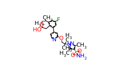 Cc1nn(C(C)(C)COc2cc(-c3cc(F)cc(C(C)C)c3CC(=O)O)ccn2)c(C)c1S(N)(=O)=O